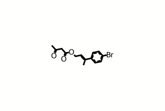 CC(=O)CC(=O)OC/C=C(\C)c1ccc(Br)cc1